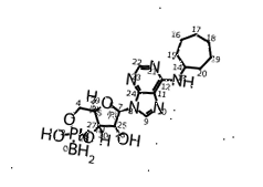 B[PH]1(O)OC[C@H]2O[C@@H](n3cnc4c(NC5CCCCCC5)ncnc43)C(O)[C@@H]2O1